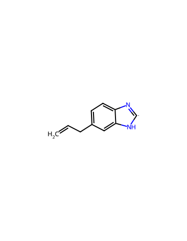 C=CCc1ccc2n[c][nH]c2c1